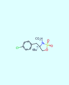 CC(C)(C)[C@@]1(Cc2ccc(Cl)cc2)COS(=O)(=O)N1C(=O)O